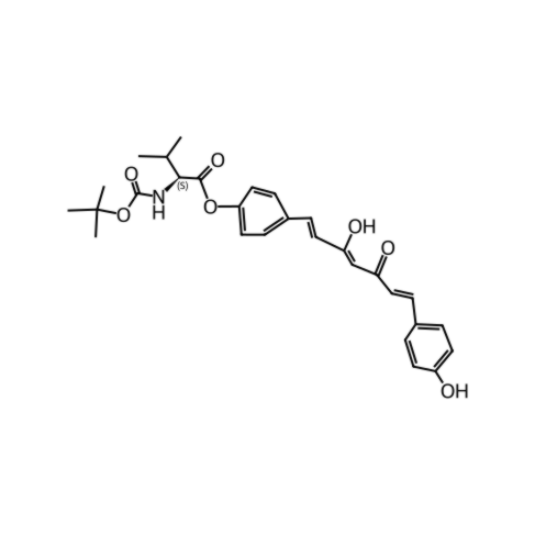 CC(C)[C@H](NC(=O)OC(C)(C)C)C(=O)Oc1ccc(C=CC(O)=CC(=O)C=Cc2ccc(O)cc2)cc1